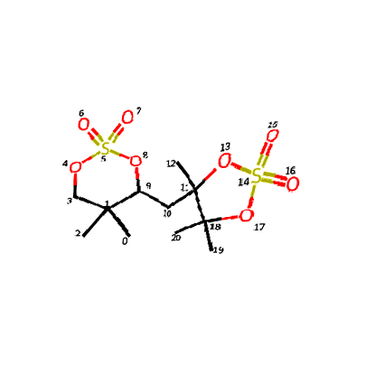 CC1(C)COS(=O)(=O)OC1CC1(C)OS(=O)(=O)OC1(C)C